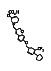 O=C(O)OC1=CCCN(CC2=Cc3ccc(OCc4ccc(C5CCCC5)c(C(F)(F)F)c4)cc3OC2)C1